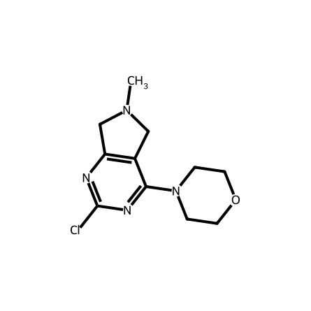 CN1Cc2nc(Cl)nc(N3CCOCC3)c2C1